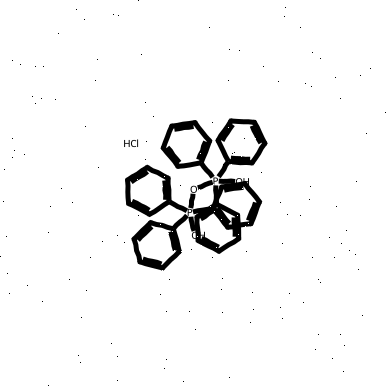 Cl.OP(OP(O)(c1ccccc1)(c1ccccc1)c1ccccc1)(c1ccccc1)(c1ccccc1)c1ccccc1